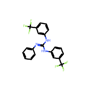 FC(F)(F)c1cccc(NC(=Nc2ccccc2)Nc2cccc(C(F)(F)F)c2)c1